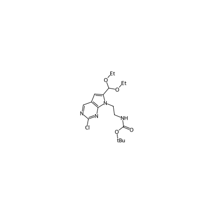 CCOC(OCC)c1cc2cnc(Cl)nc2n1CCNC(=O)OC(C)(C)C